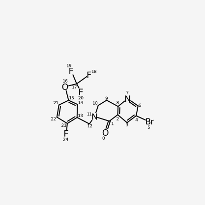 O=C1c2cc(Br)cnc2CCN1Cc1cc(OC(F)(F)F)ccc1F